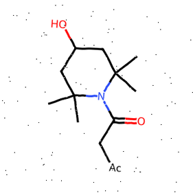 CC(=O)CC(=O)N1C(C)(C)CC(O)CC1(C)C